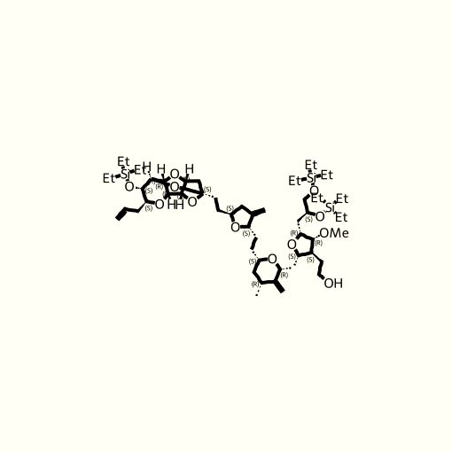 C=CC[C@@H]1O[C@@H]2[C@H]3O[C@@H]4C[C@](CC[C@H]5CC(=C)[C@H](CC[C@H]6C[C@@H](C)C(=C)[C@@H](C[C@@H]7O[C@H](C[C@@H](CO[Si](CC)(CC)CC)O[Si](CC)(CC)CC)[C@H](OC)[C@H]7CCO)O6)O5)(O[C@H]3[C@H]1O[Si](CC)(CC)CC)O[C@H]24